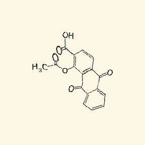 CC(=O)Oc1c(C(=O)O)ccc2c1C(=O)c1ccccc1C2=O